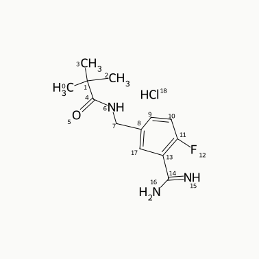 CC(C)(C)C(=O)NCc1ccc(F)c(C(=N)N)c1.Cl